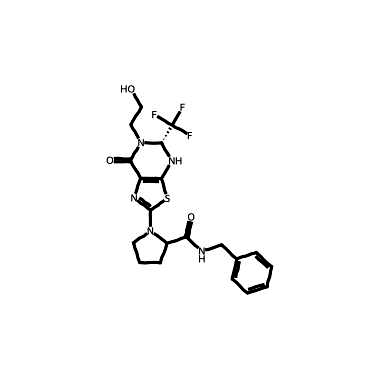 O=C(NCc1ccccc1)C1CCCN1c1nc2c(s1)N[C@@H](C(F)(F)F)N(CCO)C2=O